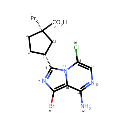 CC(C)[C@@]1(C(=O)O)CC[C@@H](c2nc(Br)c3c(N)ncc(Cl)n23)C1